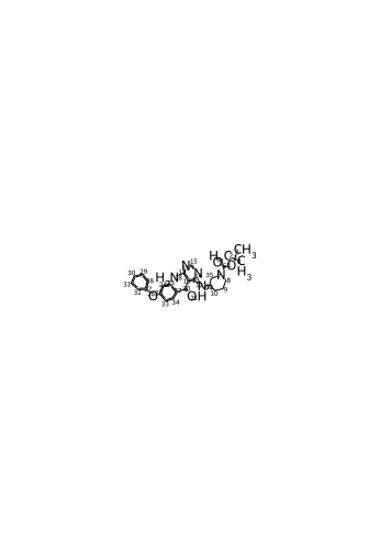 CC(C)(C)OC(=O)N1CCC[C@@H](Nc2ncnc(N)c2C(=O)c2ccc(Oc3ccccc3)cc2)C1